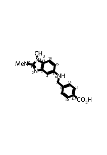 CNc1nc2cc(NCc3ccc(C(=O)O)cc3)ccc2n1C